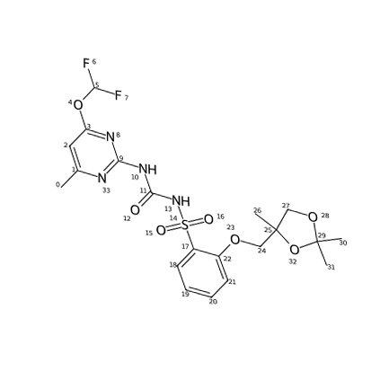 Cc1cc(OC(F)F)nc(NC(=O)NS(=O)(=O)c2ccccc2OCC2(C)COC(C)(C)O2)n1